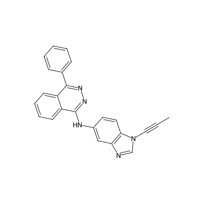 CC#Cn1cnc2cc(Nc3nnc(-c4ccccc4)c4ccccc34)ccc21